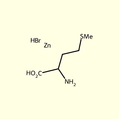 Br.CSCCC(N)C(=O)O.[Zn]